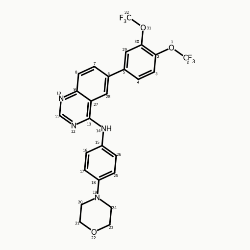 FC(F)(F)Oc1ccc(-c2ccc3ncnc(Nc4ccc(N5CCOCC5)cc4)c3c2)cc1OC(F)(F)F